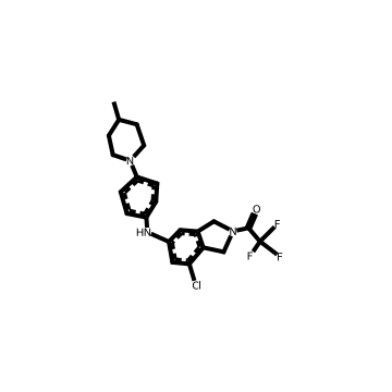 CC1CCN(c2ccc(Nc3cc(Cl)c4c(c3)CN(C(=O)C(F)(F)F)C4)cc2)CC1